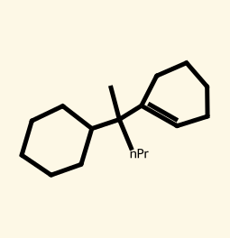 CCCC(C)(C1=CCCCC1)C1CCCCC1